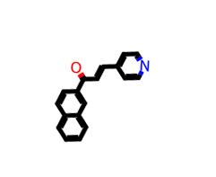 O=C(C=Cc1ccncc1)c1ccc2ccccc2c1